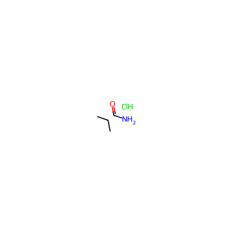 CCC.Cl.NC=O